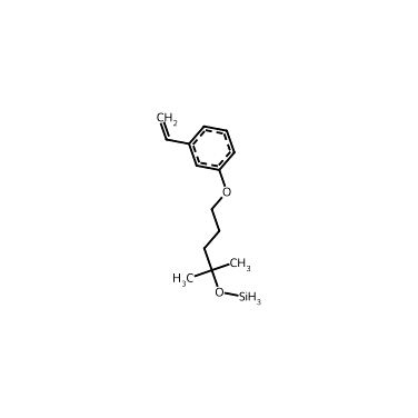 C=Cc1cccc(OCCCC(C)(C)O[SiH3])c1